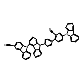 N#Cc1ccc2c(c1)c1ccccc1n2-c1cccc2c1c1ccccc1n2-c1ccc(-c2ccc(-n3c4ccccc4c4ccccc43)cc2C#N)cc1